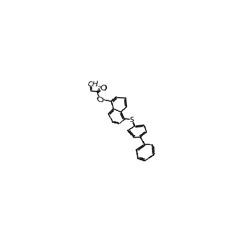 C=CC(=O)Oc1cccc2c(Sc3ccc(-c4ccccc4)cc3)cccc12